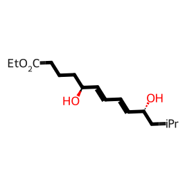 CCOC(=O)CCC[C@H](O)/C=C/C=C/[C@H](O)CC(C)C